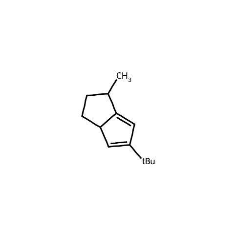 CC1CCC2C=C(C(C)(C)C)C=C12